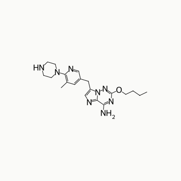 CCCCOc1nc(N)c2ncc(Cc3cnc(N4CCNCC4)c(C)c3)n2n1